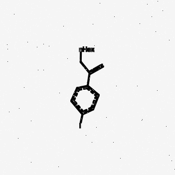 C=C(CCCCCCC)c1ccc(I)cc1